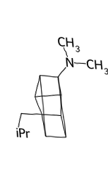 CC(C)CC12C3C4C1C1C2C3C41N(C)C